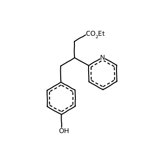 CCOC(=O)CC(Cc1ccc(O)cc1)c1ccccn1